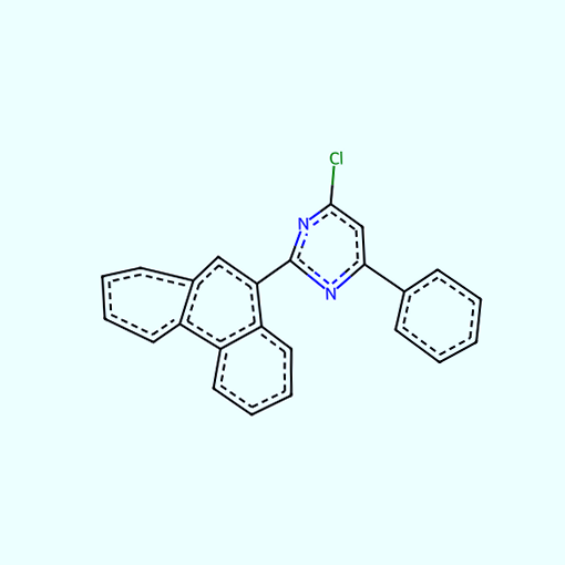 Clc1cc(-c2ccccc2)nc(-c2cc3ccccc3c3ccccc23)n1